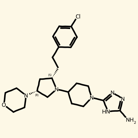 Nc1nnc(N2CCC(N3C[C@H](N4CCOCC4)C[C@@H]3CCc3ccc(Cl)cc3)CC2)[nH]1